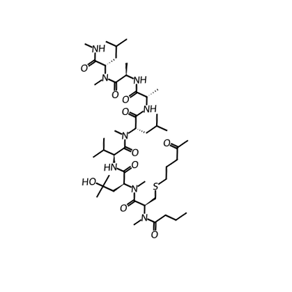 CCCC(=O)N(C)[C@H](CSCCCC(C)=O)C(=O)N(C)[C@@H](CC(C)(C)O)C(=O)N[C@H](C(=O)N(C)[C@@H](CC(C)C)C(=O)N[C@@H](C)C(=O)N[C@H](C)C(=O)N(C)[C@@H](CC(C)C)C(=O)NC)C(C)C